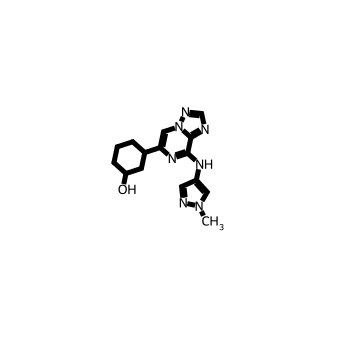 Cn1cc(Nc2nc(C3CCCC(O)C3)cn3ncnc23)cn1